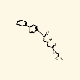 CCOC(=O)C[S+]([O-])CC(=O)c1ccc(-c2ccccc2)cc1